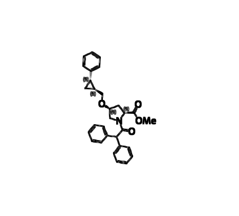 COC(=O)[C@@H]1C[C@H](OC[C@H]2C[C@@H]2c2ccccc2)CN1C(=O)C(c1ccccc1)c1ccccc1